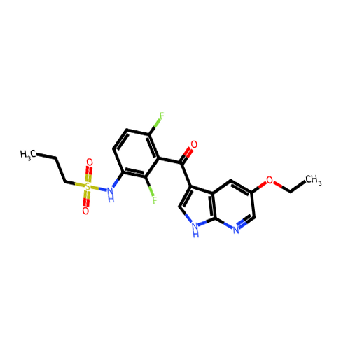 CCCS(=O)(=O)Nc1ccc(F)c(C(=O)c2c[nH]c3ncc(OCC)cc23)c1F